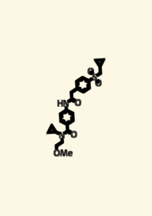 COCCN(C(=O)c1ccc(NC(=O)Cc2ccc(S(=O)(=O)CC3CC3)cc2)cc1)C1CC1